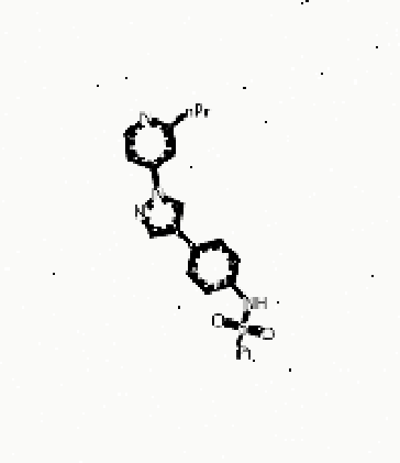 CCCc1cc(-n2cc(-c3ccc(NS(=O)(=O)C(C)C)cc3)cn2)ccn1